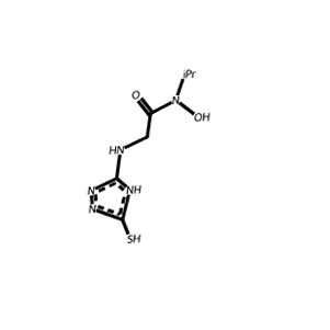 CC(C)N(O)C(=O)CNc1nnc(S)[nH]1